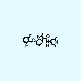 Cc1cc(NC(=O)c2c(C)nc3c(OCc4c(F)cccc4F)cccn23)cc(C)n1